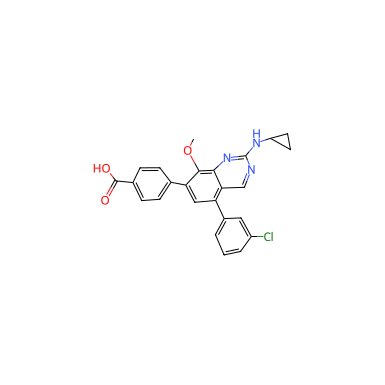 COc1c(-c2ccc(C(=O)O)cc2)cc(-c2cccc(Cl)c2)c2cnc(NC3CC3)nc12